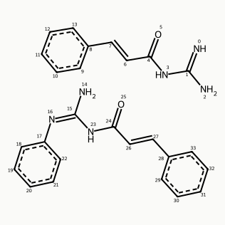 N=C(N)NC(=O)C=Cc1ccccc1.NC(=Nc1ccccc1)NC(=O)C=Cc1ccccc1